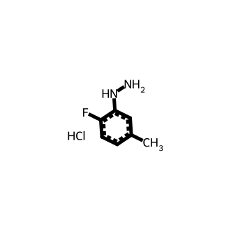 Cc1ccc(F)c(NN)c1.Cl